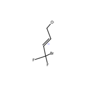 [O]C/C=C/C(F)(F)Br